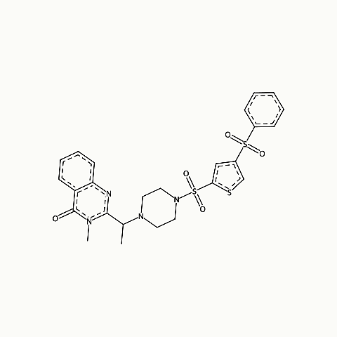 CC(c1nc2ccccc2c(=O)n1C)N1CCN(S(=O)(=O)c2cc(S(=O)(=O)c3ccccc3)cs2)CC1